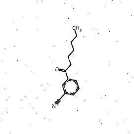 CCCCCCC(=O)c1cccc(C#N)c1